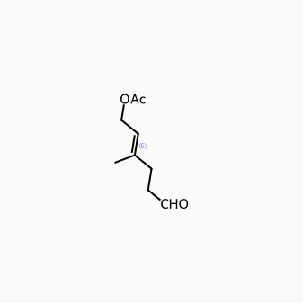 CC(=O)OC/C=C(\C)CCC=O